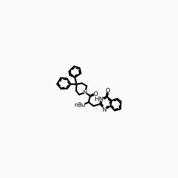 CCCCC(Cc1nc2ccccc2c(=O)[nH]1)C(=O)N1CCC(c2ccccc2)(c2ccccc2)CC1